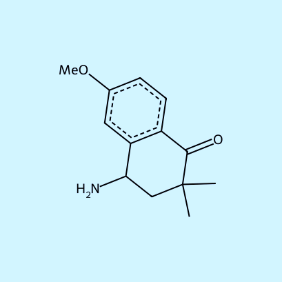 COc1ccc2c(c1)C(N)CC(C)(C)C2=O